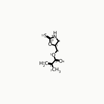 C=C(C)C(=O)OCC1CNC(=S)O1